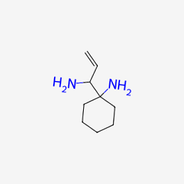 C=CC(N)C1(N)CCCCC1